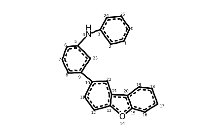 c1ccc(Nc2cccc(-c3ccc4oc5ccccc5c4c3)c2)cc1